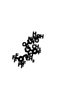 Cc1cc(F)ccc1C1CN(C(=O)c2cnc(NC(=O)O)nc2)CCC1C(=O)N(C)Cc1cc(C(F)(F)F)cc(C(F)(F)F)c1